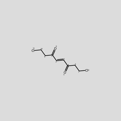 O=C(C=CC(=O)CCCl)CCCl